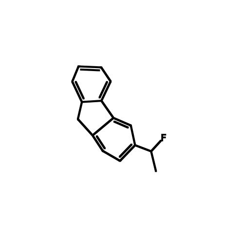 CC(F)c1ccc2c(c1)-c1ccccc1C2